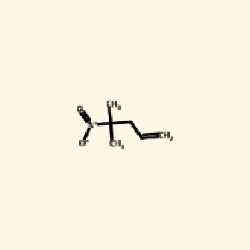 C=CCC(C)(C)[N+](=O)[O-]